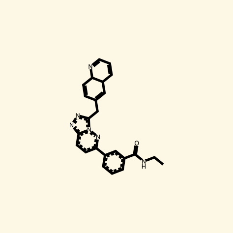 CCNC(=O)c1cccc(-c2ccc3nnc(CC4=CC5C=CC=NC5C=C4)n3n2)c1